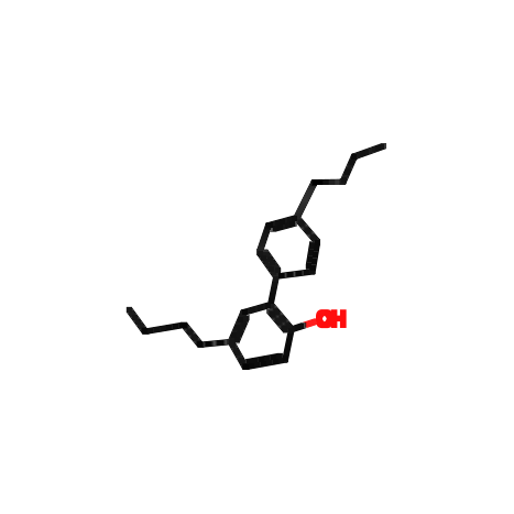 CCCCc1ccc(-c2cc(CCCC)ccc2O)cc1